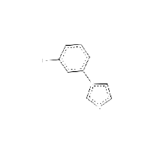 Fc1cccc(-n2ccnc2)c1